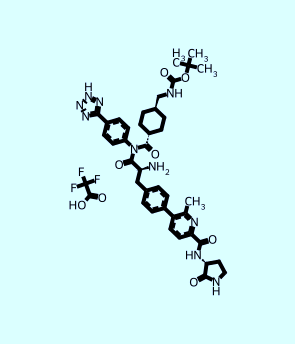 Cc1nc(C(=O)N[C@@H]2CCNC2=O)ccc1-c1ccc(C[C@H](N)C(=O)N(c2ccc(-c3nn[nH]n3)cc2)C(=O)[C@H]2CC[C@H](CNC(=O)OC(C)(C)C)CC2)cc1.O=C(O)C(F)(F)F